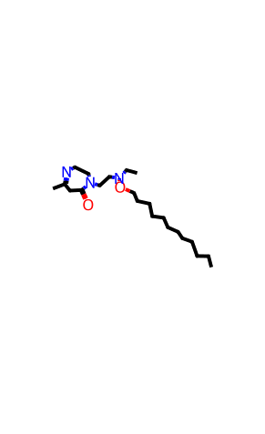 CCCCCCCCCCCCON(CC)CCN1CCN=C(C)CC1=O